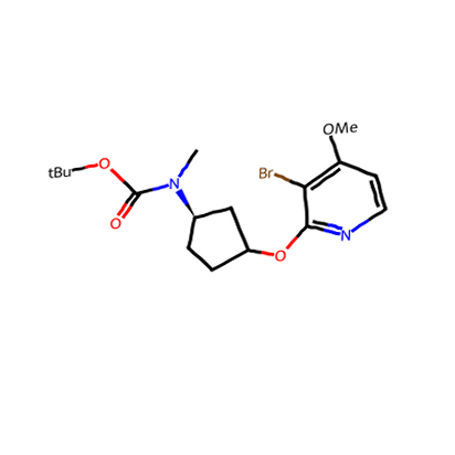 COc1ccnc(OC2CC[C@@H](N(C)C(=O)OC(C)(C)C)C2)c1Br